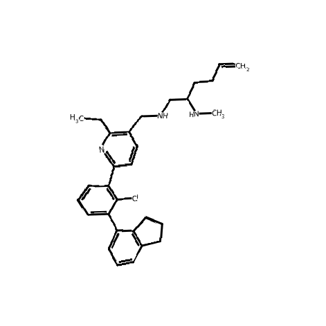 C=CCCC(CNCc1ccc(-c2cccc(-c3cccc4c3CCC4)c2Cl)nc1CC)NC